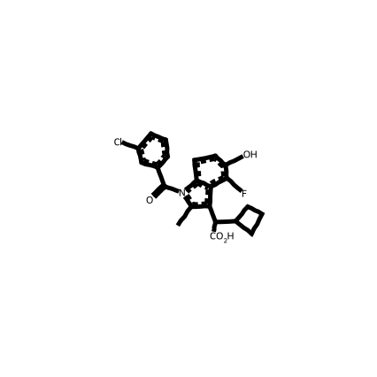 Cc1c(C(C(=O)O)C2CCC2)c2c(F)c(O)ccc2n1C(=O)c1cccc(Cl)c1